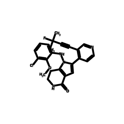 COc1c(Cl)cccc1Nn1c(-c2ccncc2C#CC(C)(C)F)cc2c1CCNC2=O